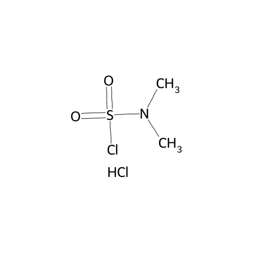 CN(C)S(=O)(=O)Cl.Cl